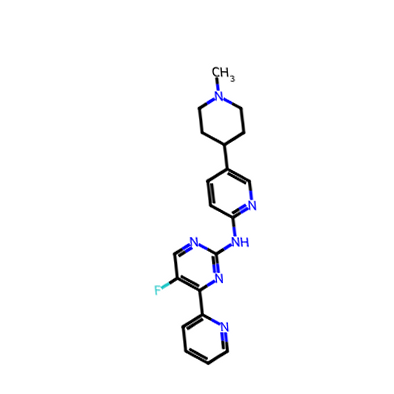 CN1CCC(c2ccc(Nc3ncc(F)c(-c4ccccn4)n3)nc2)CC1